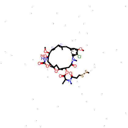 COc1cc2cc(c1Cl)N(C)C(=O)CC(OC(=O)C(C)N(C)C(=O)CCSSC)C1(C)CC(C)(O1)C1CC(O)(NC(=O)O1)C(OC)/C=C/C=C(\C)C2